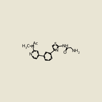 CC(=O)N(C)c1cc(-c2cccc(-c3csc(NC(=O)CN)n3)c2)ccn1